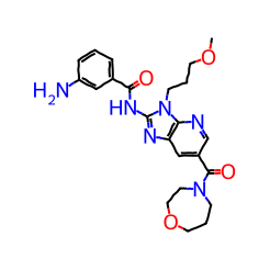 COCCCn1c(NC(=O)c2cccc(N)c2)nc2cc(C(=O)N3CCCOCC3)cnc21